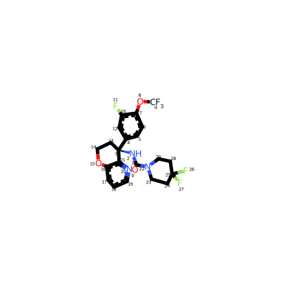 O=C(N[C@]1(c2ccc(OC(F)(F)F)c(F)c2)CCOc2cccnc21)N1CCC(F)(F)CC1